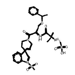 CC(OCC(NC(=O)C(C)(C)N)C(=O)N1CCC2(CC1)CN(S(C)(=O)=O)c1ccccc12)c1ccccc1.CS(=O)(=O)O